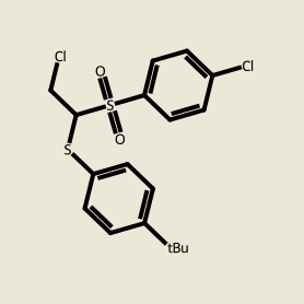 CC(C)(C)c1ccc(SC(CCl)S(=O)(=O)c2ccc(Cl)cc2)cc1